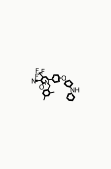 Cc1ccc(Cn2c(-c3ccc(Oc4ccc(Nc5ccccc5)cc4)cc3)cc(C(F)(F)F)c(C#N)c2=O)c(C)c1